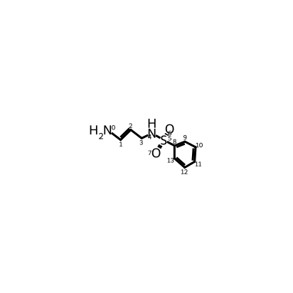 NC=CCNS(=O)(=O)c1ccccc1